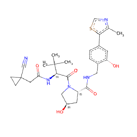 Cc1ncsc1-c1ccc(CNC(=O)[C@@H]2C[C@@H](O)CN2C(=O)[C@@H](NC(=O)CC2(C#N)CC2)C(C)(C)C)c(O)c1